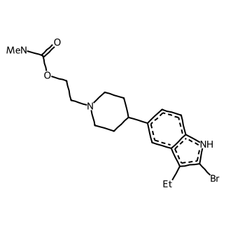 CCc1c(Br)[nH]c2ccc(C3CCN(CCOC(=O)NC)CC3)cc12